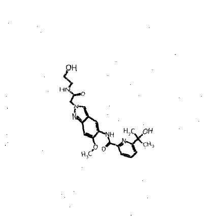 COc1cc2nn(CC(=O)NCCO)cc2cc1NC(=O)c1cccc(C(C)(C)O)n1